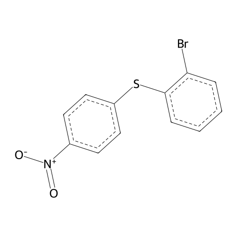 O=[N+]([O-])c1ccc(Sc2ccccc2Br)cc1